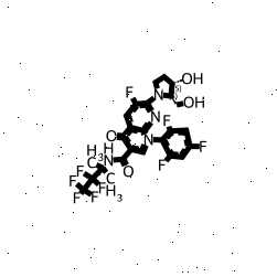 CC(C)(NC(=O)c1cn(-c2c(F)cc(F)cc2F)c2nc(N3CC[C@H](O)[C@@H]3CO)c(F)cc2c1=O)C(F)(F)C(F)(F)F